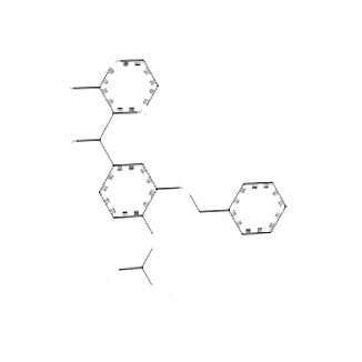 CC(C)Oc1ccc(C(N)c2nccnc2Cl)cc1OCc1ccccc1